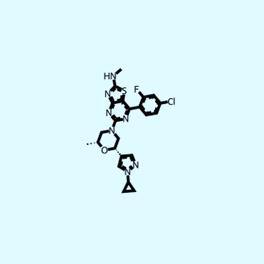 CNc1nc2nc(N3C[C@@H](C)O[C@@H](c4cnn(C5CC5)c4)C3)nc(-c3ccc(Cl)cc3F)c2s1